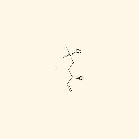 C=CC(=O)CC[N+](C)(C)CC.[I-]